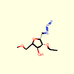 CCO[C@H]1[C@@H](CN=[N+]=[N-])OC(COC)[C@@H]1O